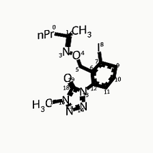 CCCC(C)=NOCc1c(I)cccc1-n1nnn(C)c1=O